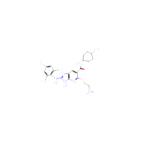 CN(C)CCOc1nc2[nH]c(Nc3c(Cl)cc(F)cc3Cl)nc2cc1C(=O)NC1CCC(C(F)(F)F)CC1